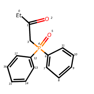 CCC(=O)CP(=O)(c1ccccc1)c1ccccc1